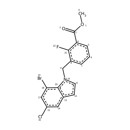 COC(=O)c1cccc(Cn2ccc3cc(Cl)cc(Br)c32)c1F